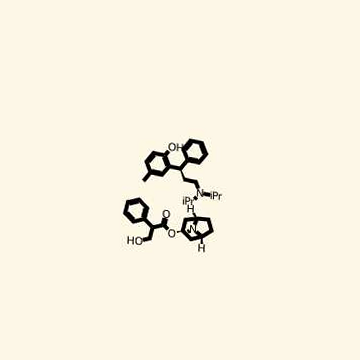 CN1[C@@H]2CC[C@H]1C[C@@H](OC(=O)C(CO)c1ccccc1)C2.Cc1ccc(O)c([C@H](CCN(C(C)C)C(C)C)c2ccccc2)c1